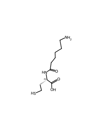 NCCCCCC(=O)N[C@@H](CCS)C(=O)O